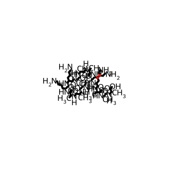 CC(N)C(=O)NC(C)C(=O)NC(C)C(=O)NC(CCCCN)C(=O)NC(CCCCN)C(=O)NC(C)C(=O)NC(C)C(=O)NC(C)C(=O)NC(CCCCN)C(=O)NC(CCCCN)C(=O)NC(C)C(=O)NC(C)C(=O)NC(C)C(=O)O